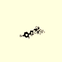 CC(C[C@H]1CC(c2ccc(Br)cc2F)=NO1)(C(=O)O)S(C)(=O)=O